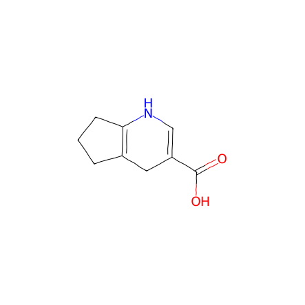 O=C(O)C1=CNC2=C(CCC2)C1